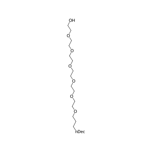 CCCCCCCCCCCCCOCCOCCOCCOCCOCCOCCO